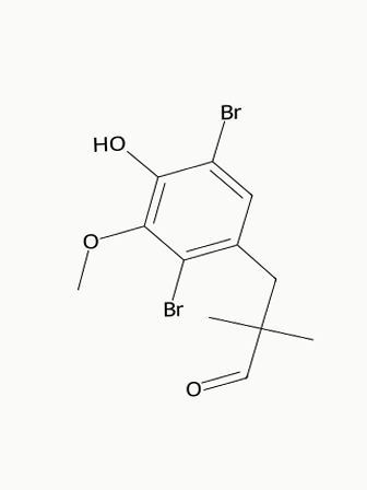 COc1c(O)c(Br)cc(CC(C)(C)C=O)c1Br